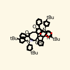 C=C1/C=C(/N(c2ccc(C(C)(C)C)cc2)c2ccc(C(C)(C)C)cc2)c2c(oc3ccccc23)Cc2c(cc(N(c3ccc(C(C)(C)C)cc3)c3ccc(C(C)(C)C)cc3)c3c2oc2ccccc23)C12c1ccccc1-c1c2ccc2cccnc12